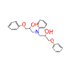 OC(COc1ccccc1)CN(CC(O)COc1ccccc1)c1ccccc1